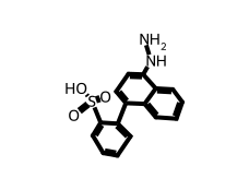 NNc1ccc(-c2ccccc2S(=O)(=O)O)c2ccccc12